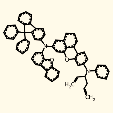 C=CCC(C=C)N(c1ccccc1)c1ccc2c(c1)Oc1cc(N(c3ccc4c(c3)C(c3ccccc3)(c3ccccc3)c3ccccc3-4)c3cccc4c3oc3ccccc34)cc3cccc-2c13